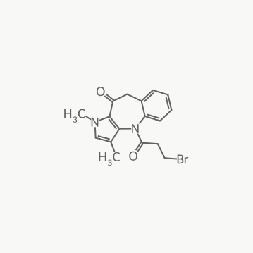 Cc1cn(C)c2c1N(C(=O)CCBr)c1ccccc1CC2=O